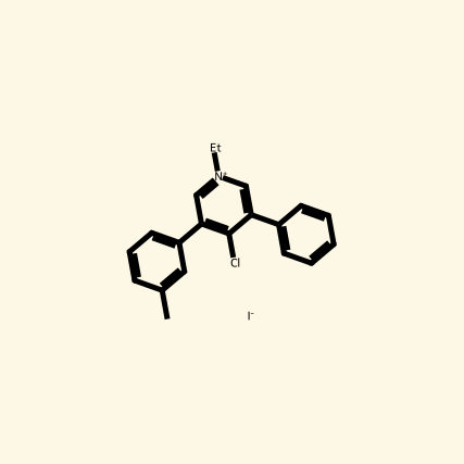 CC[n+]1cc(-c2ccccc2)c(Cl)c(-c2cccc(C)c2)c1.[I-]